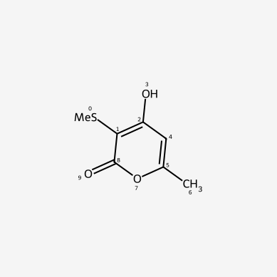 CSc1c(O)cc(C)oc1=O